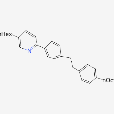 CCCCCCCCc1ccc(CCc2ccc(-c3ccc(CCCCCC)cn3)cc2)cc1